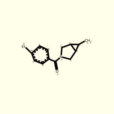 [CH2]C1C2CN(C(=O)c3ccc(CC)cc3)CC12